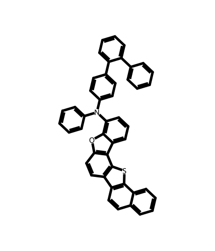 c1ccc(-c2ccccc2-c2ccc(N(c3ccccc3)c3cccc4c3oc3ccc5c6ccc7ccccc7c6sc5c34)cc2)cc1